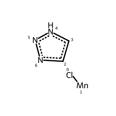 [Cl][Mn].c1c[nH]nn1